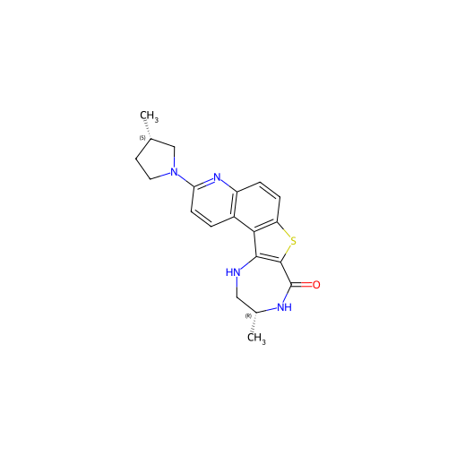 C[C@H]1CCN(c2ccc3c(ccc4sc5c(c43)NC[C@@H](C)NC5=O)n2)C1